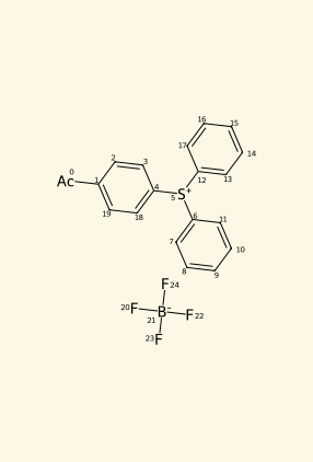 CC(=O)c1ccc([S+](c2ccccc2)c2ccccc2)cc1.F[B-](F)(F)F